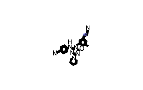 Cc1cc(/C=C/C#N)cc(C)c1Oc1nc(Nc2ccc(C#N)cc2)nc(N2CCCCC2)n1